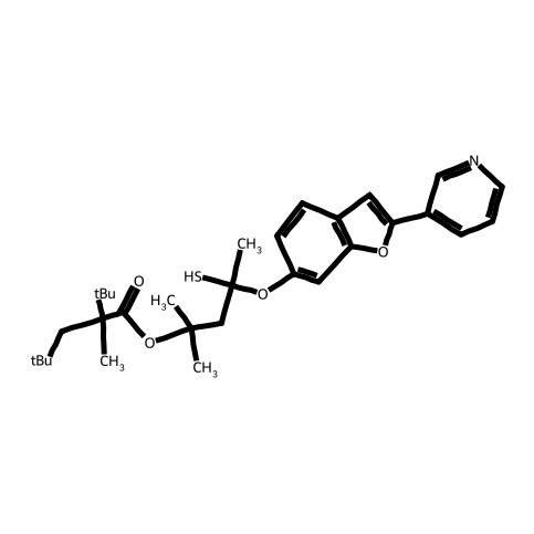 CC(C)(C)CC(C)(C(=O)OC(C)(C)CC(C)(S)Oc1ccc2cc(-c3cccnc3)oc2c1)C(C)(C)C